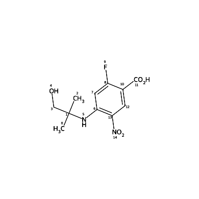 CC(C)(CO)Nc1cc(F)c(C(=O)O)cc1[N+](=O)[O-]